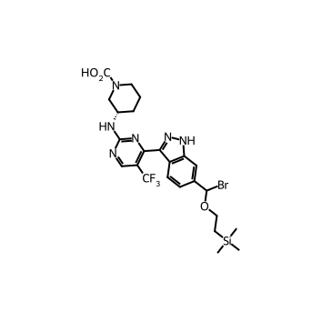 C[Si](C)(C)CCOC(Br)c1ccc2c(-c3nc(N[C@H]4CCCN(C(=O)O)C4)ncc3C(F)(F)F)n[nH]c2c1